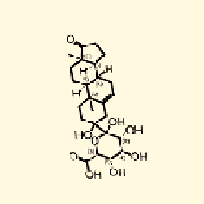 C[C@]12CCC(O)(C3(O)O[C@H](C(=O)O)[C@@H](O)[C@H](O)[C@H]3O)CC1=CC[C@@H]1[C@@H]2CC[C@]2(C)C(=O)CC[C@@H]12